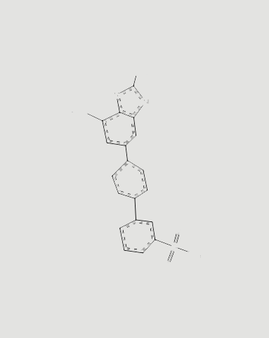 Cc1nc2c(C(=O)O)cc(-c3ccc(-c4cccc(S(C)(=O)=O)c4)cc3)cc2[nH]1